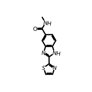 CNC(=O)c1ccc2[nH]c(-c3nccs3)nc2c1